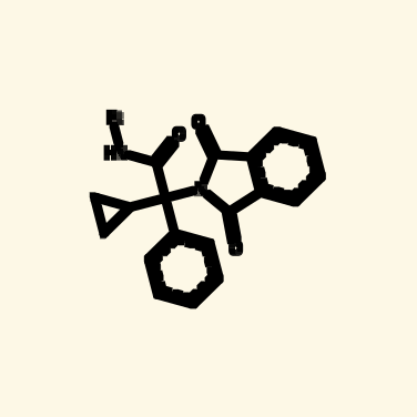 CCNC(=O)C(c1ccccc1)(C1CC1)N1C(=O)c2ccccc2C1=O